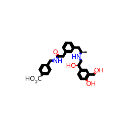 C[C@H](Cc1cccc(CC(=O)NCc2ccc(C(=O)O)cc2)c1)NC[C@H](O)c1ccc(O)c(CO)c1